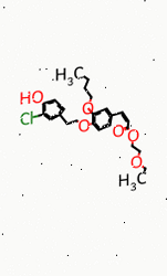 CCCCOc1cc(/C=C\C(=O)OCCOCC)ccc1OCCc1ccc(O)c(Cl)c1